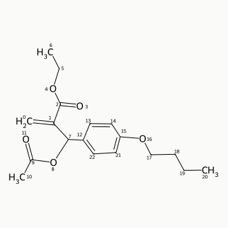 C=C(C(=O)OCC)C(OC(C)=O)c1ccc(OCCCC)cc1